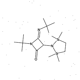 CC(C)(C)/N=C1\C(N2[Si](C)(C)CC[Si]2(C)C)C(=O)N1C(C)(C)C